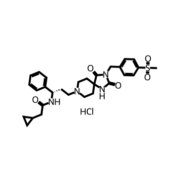 CS(=O)(=O)c1ccc(CN2C(=O)NC3(CCN(CC[C@H](NC(=O)CC4CC4)c4ccccc4)CC3)C2=O)cc1.Cl